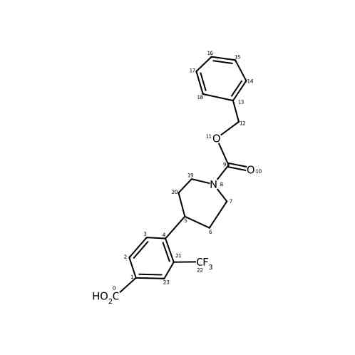 O=C(O)c1ccc(C2CCN(C(=O)OCc3ccccc3)CC2)c(C(F)(F)F)c1